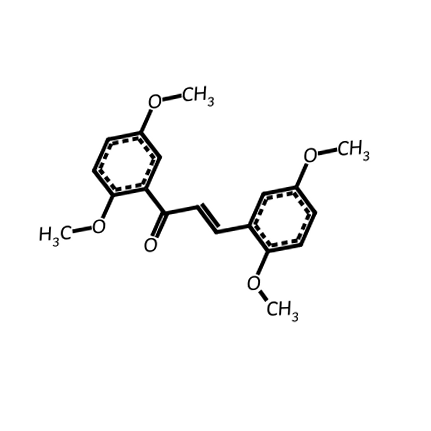 COc1ccc(OC)c(/C=C/C(=O)c2cc(OC)ccc2OC)c1